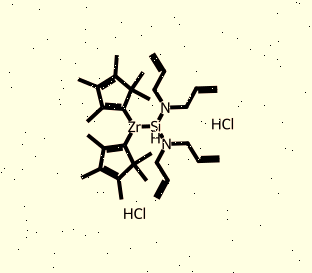 C=CCN(CC=C)[SiH](N(CC=C)CC=C)[Zr]([C]1=C(C)C(C)=C(C)C1(C)C)[C]1=C(C)C(C)=C(C)C1(C)C.Cl.Cl